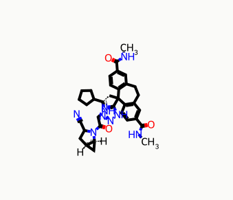 CNC(=O)c1ccc2c(c1)CCc1cc(C(=O)NC)ccc1C2(C[C@H](NCC(=O)N1C(C#N)C[C@@H]2C[C@@H]21)C1CCCC1)c1nnn[nH]1